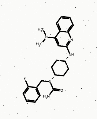 CN(C)c1cc(N[C@H]2CC[C@@H](N(Cc3ccccc3F)C(N)=O)CC2)nc2ccccc12